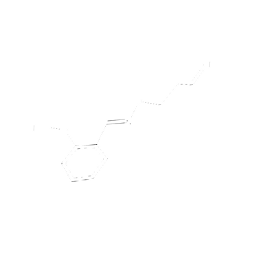 C=CCCON=[C]c1ccccc1OC